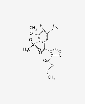 CCOC(=O)c1nocc1C(=O)c1cc(C2CC2)c(F)c(OC)c1S(C)(=O)=O